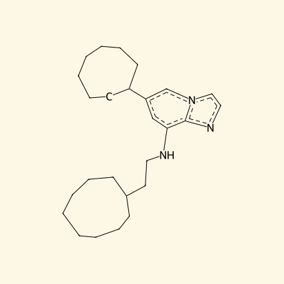 c1cn2cc(C3CCCCCCC3)cc(NCCC3CCCCCCCC3)c2n1